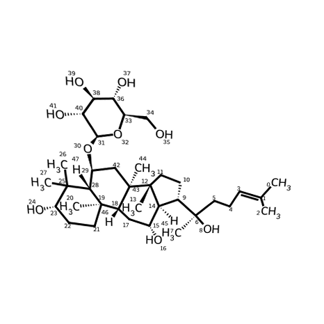 CC(C)=CCC[C@@](C)(O)[C@H]1CC[C@]2(C)[C@@H]1[C@H](O)C[C@@H]1[C@@]3(C)CC[C@H](O)C(C)(C)[C@@H]3[C@@H](O[C@@H]3O[C@H](CO)[C@@H](O)[C@H](O)[C@H]3O)C[C@]12C